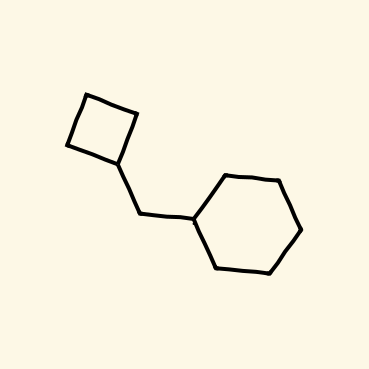 C1CC[C](CC2CCC2)CC1